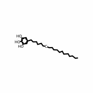 CCCCCCCCCCCCCCCCCCCc1cc(O)c(O)c(O)c1